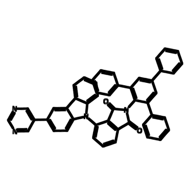 O=C1c2cccc(-n3c4ccccc4c4cc(-c5cncnc5)ccc43)c2C(=O)N1c1c(-c2ccccc2)cc(-c2ccccc2)cc1-c1ccccc1